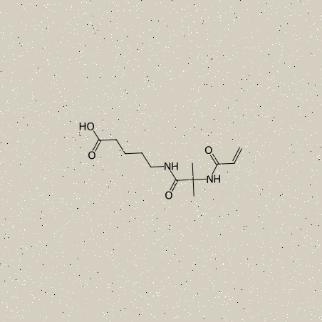 C=CC(=O)NC(C)(C)C(=O)NCCCCC(=O)O